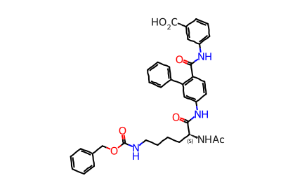 CC(=O)N[C@@H](CCCCNC(=O)OCc1ccccc1)C(=O)Nc1ccc(C(=O)Nc2cccc(C(=O)O)c2)c(-c2ccccc2)c1